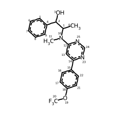 CC(C(O)c1ccccc1)N(C)c1cc(-c2ccc(OC(F)(F)F)cc2)ncn1